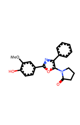 COc1cc(-c2nc(-c3ccccc3)c(N3CCCC3=O)o2)ccc1O